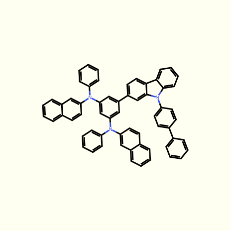 c1ccc(-c2ccc(-n3c4ccccc4c4ccc(-c5cc(N(c6ccccc6)c6ccc7ccccc7c6)cc(N(c6ccccc6)c6ccc7ccccc7c6)c5)cc43)cc2)cc1